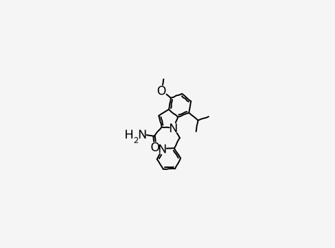 COc1ccc(C(C)C)c2c1cc(C(N)=O)n2Cc1ccccn1